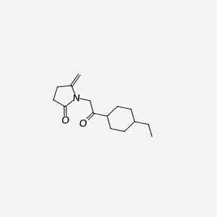 C=C1CCC(=O)N1CC(=O)C1CCC(CC)CC1